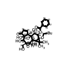 CCC(C)CO[C@@]12[C@H](OC(=O)c3ccccc3)[C@@H](C)[C@@]3(O)[C@H]([C@@H]1C2(C)C)[C@@H]1O[C@]1(CO)C(O)[C@]1(O)C(=O)C=C[C@@H]31